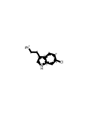 CC(C)CCc1c[nH]c2cc(Cl)ccc12